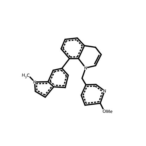 COc1ccc(CN2C=CCc3cccc(-c4ccc5ccn(C)c5c4)c32)cn1